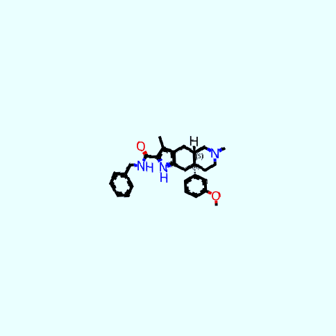 COc1cccc([C@@]23CCN(C)C[C@H]2Cc2c([nH]c(C(=O)NCc4ccccc4)c2C)C3)c1